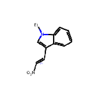 CCn1cc(/C=C/[N+](=O)[O-])c2ccccc21